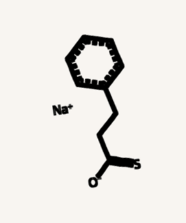 [Na+].[O-]C(=S)CCc1ccccc1